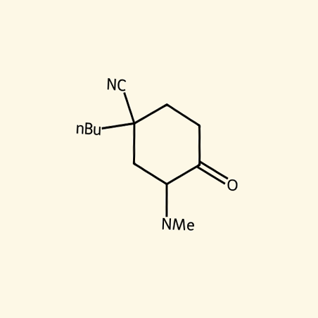 CCCCC1(C#N)CCC(=O)C(NC)C1